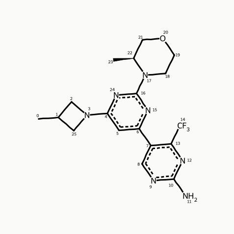 CC1CN(c2cc(-c3cnc(N)nc3C(F)(F)F)nc(N3CCOC[C@@H]3C)n2)C1